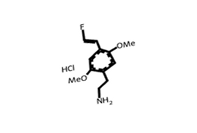 COc1cc(CCN)c(OC)cc1/C=C/F.Cl